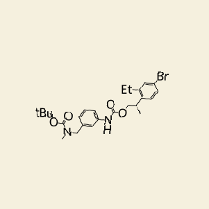 CCc1cc(Br)ccc1[C@@H](C)COC(=O)Nc1cccc(CN(C)C(=O)OC(C)(C)C)c1